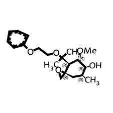 CO[C@@H]1[C@H](O)[C@H](C)C[C@]2(CO2)[C@H]1C(C)(C)OCCOc1ccccc1